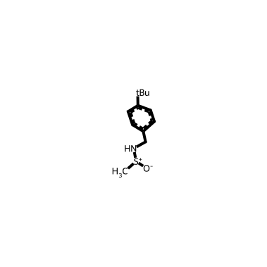 C[S+]([O-])NCc1ccc(C(C)(C)C)cc1